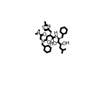 Cc1nc(C[C@H](CC(=O)N(CC(=O)N(C)C)CC2CCCCC2)C(=O)N[C@@H](CC2CCCCC2)[C@@H](O)[C@@H](O)CC(C)C)cs1